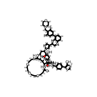 Cc1ncsc1-c1ccc(CNC(=O)[C@@H]2C[C@@H](O)CN2C2C(N3CCC(n4cc(-c5cnc6cccc(-c7cc(F)c(CN8CCOCC8)c(F)c7)c6n5)cn4)CC3)C(=O)NCCOCCOCCOCCC(=O)NC2C(C)(C)C)cc1